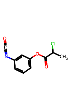 CC(Cl)C(=O)Oc1cccc(N=C=O)c1